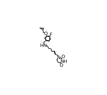 C[C@@H](NCCCC/C=C/CN1CCC(=O)NC1=O)c1ccc(F)c(OCC2CC2)c1